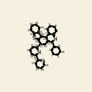 c1ccc(-c2nc3ccccc3c3c2cc(-c2cccc(-c4ccccn4)n2)c2sc4ccccc4c23)cc1